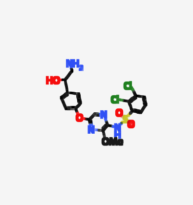 COc1nc(Oc2ccc(C(O)CN)cc2)cnc1NS(=O)(=O)c1cccc(Cl)c1Cl